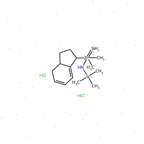 C[Si](C)(C)[NH][Zr]([CH3])([CH3])(=[SiH2])[CH]1CCC2CC=CC=C21.Cl.Cl